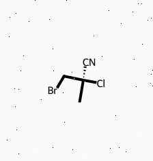 C[C@@](Cl)(C#N)CBr